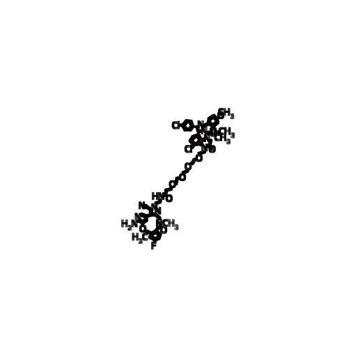 COc1ccc(C2=N[C@H](c3ccc(Cl)cc3)[C@H](c3ccc(Cl)cc3)N2C(=O)N2CCN(CCOCCOCCOCCOCCC(=O)NCCn3nc4c(c3C#N)-c3cnc(N)c(c3)O[C@H](C)c3cc(F)ccc3C(=O)N(C)C4)C(=O)C2)c(OC(C)C)c1